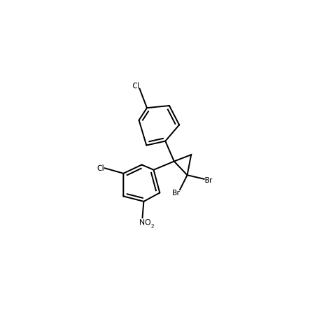 O=[N+]([O-])c1cc(Cl)cc(C2(c3ccc(Cl)cc3)CC2(Br)Br)c1